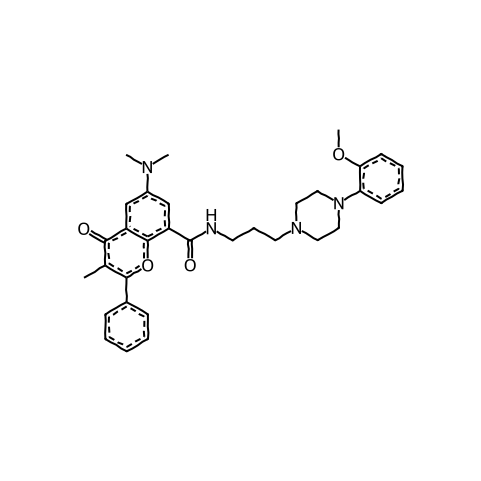 COc1ccccc1N1CCN(CCCNC(=O)c2cc(N(C)C)cc3c(=O)c(C)c(-c4ccccc4)oc23)CC1